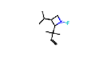 C=CC(C)(C)C1C(C(C)C)CN1F